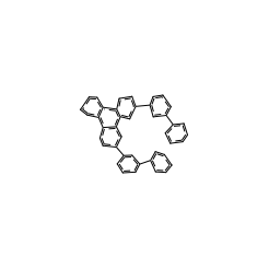 c1ccc(-c2cccc(-c3ccc4c5ccccc5c5ccc(-c6cccc(-c7ccccc7)c6)cc5c4c3)c2)cc1